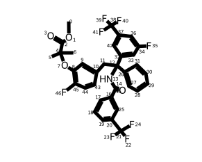 COC(=O)C(C)(C)Oc1cc(CC(NC(=O)c2cccc(C(F)(F)F)c2)(c2ccccc2)c2cc(F)cc(C(F)(F)F)c2)ccc1F